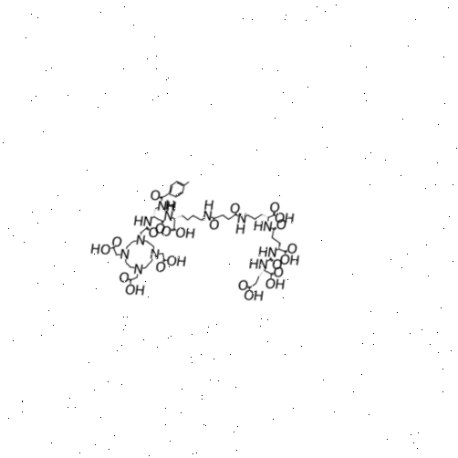 Cc1ccc(C(=O)NC[C@@H](NC(=O)CN2CCN(CC(=O)O)CCN(CC(=O)O)CCN(CC(=O)O)CC2)C(=O)N[C@H](CCCCNC(=O)CCC(=O)NCCC[C@@H](NC(=O)CC[C@H](NC(=O)N[C@@H](CCC(=O)O)C(=O)O)C(=O)O)C(=O)O)C(=O)O)cc1